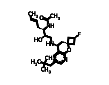 CC=CC[C@H](NC(C)=O)[C@H](O)CN[C@H]1C[C@]2(C[C@H](F)C2)Oc2ncc(CC(C)(C)C)cc21